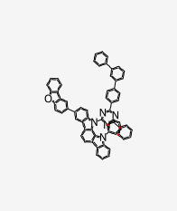 c1ccc(-c2cccc(-c3ccc(-c4nc(-c5ccccc5)nc(-n5c6ccc(-c7ccc8oc9ccccc9c8c7)cc6c6ccc7c8ccccc8n(-c8ccccc8)c7c65)n4)cc3)c2)cc1